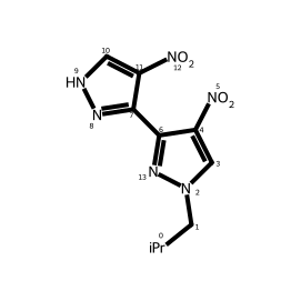 CC(C)Cn1cc([N+](=O)[O-])c(-c2n[nH]cc2[N+](=O)[O-])n1